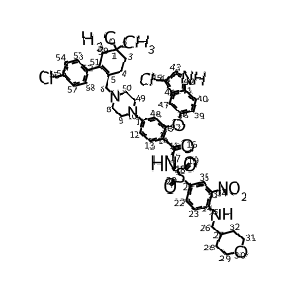 CC1(C)CCC(CN2CCN(c3ccc(C(=O)NS(=O)(=O)c4ccc(NCC5CCOCC5)c([N+](=O)[O-])c4)c(Oc4ccc5[nH]cc(Cl)c5c4)c3)CC2)=C(c2ccc(Cl)cc2)C1